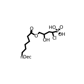 CCCCCCCCCCCCCCCC(=O)OCC(O)CC(Cl)P(=O)(O)O